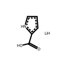 O=C(O)c1ccc[nH]1.[LiH]